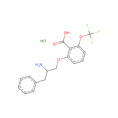 Cl.NC(COc1cccc(OC(F)(F)F)c1C(=O)O)Cc1ccccc1